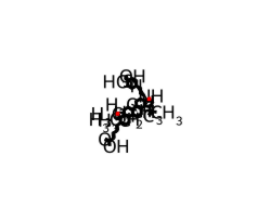 C=C(C)[C@@H]1CC[C@]2(NCCN3CCS(O)(O)CC3)CC[C@]3(C)[C@H](CC[C@@H]4[C@@]5(C)CC=C(/C=C/C=C/C(=O)O)C(C)(C)[C@@H]5CC[C@]43C)[C@@H]12